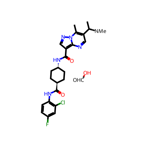 CNC(C)c1cnc2c(C(=O)N[C@H]3CC[C@H](C(=O)Nc4ccc(F)cc4Cl)CC3)cnn2c1C.O=CO